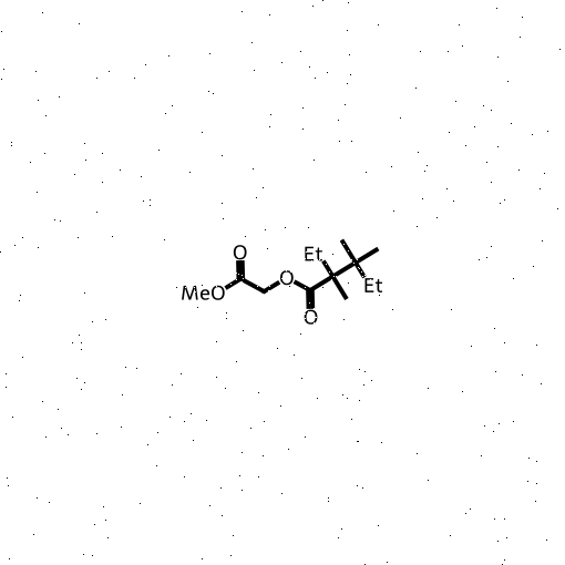 CCC(C)(C)C(C)(CC)C(=O)OCC(=O)OC